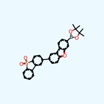 CC1(C)OB(c2ccc3c(c2)oc2ccc(-c4ccc5c(c4)-c4ccccc4S5(=O)=O)cc23)OC1(C)C